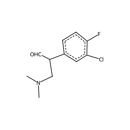 CN(C)CC(C=O)c1ccc(F)c(Cl)c1